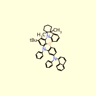 CC(C)(C)c1cc2c3c(c1)N1c4c(cccc4C4(C)CCCCC14C)B3c1ccc(N(c3ccccc3)c3cccc4ccccc34)cc1N2c1ccccc1